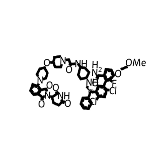 COCCOc1ccc(C(N)=O)c(-c2cc([C@H](CNC3CCC(NC(=O)CN4CCC(OC5CCN(c6cccc7c6C(=O)N(C6CCC(=O)NC6=O)C7=O)CC5)CC4)CC3)c3ccccc3)c(Cl)cc2Cl)c1F